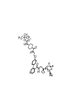 CC(C)(C)OC(=O)NC1CCC(C(=O)NCCOc2ccc(-c3cnccc3C(=O)NCC(=O)N3CC(F)(F)C[C@H]3C#N)cc2)CC1